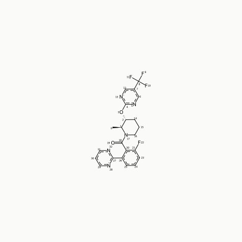 C[C@H]1[C@H](Oc2ncc(C(F)(F)F)cn2)CCCN1C(=O)c1c(F)cccc1-c1ncccn1